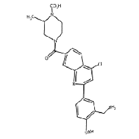 COc1ccc(-c2cc(Cl)c3ccc(C(=O)N4CCN(C(=O)O)C(C)C4)cc3n2)cc1CN